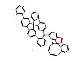 C=C1/C=C\C=C/Cc2ccccc2C12c1ccccc1-c1ccc(C(=O)c3ccc4c(c3)C3(c5ccccc5-4)c4cc(-c5cc(C)ccc5C)ccc4-c4ccc(-c5cc(C)ccc5C)cc43)cc12